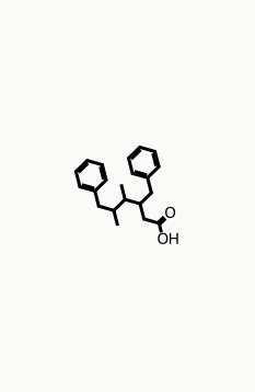 CC(Cc1ccccc1)C(C)C(CC(=O)O)Cc1ccccc1